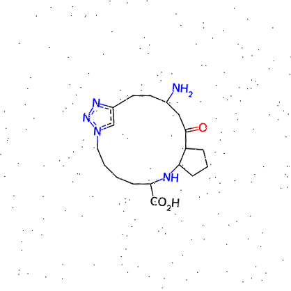 NC1CCc2cn(nn2)CCCCC(C(=O)O)NC2CCCC2C(=O)C1